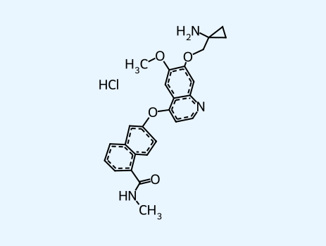 CNC(=O)c1cccc2cc(Oc3ccnc4cc(OCC5(N)CC5)c(OC)cc34)ccc12.Cl